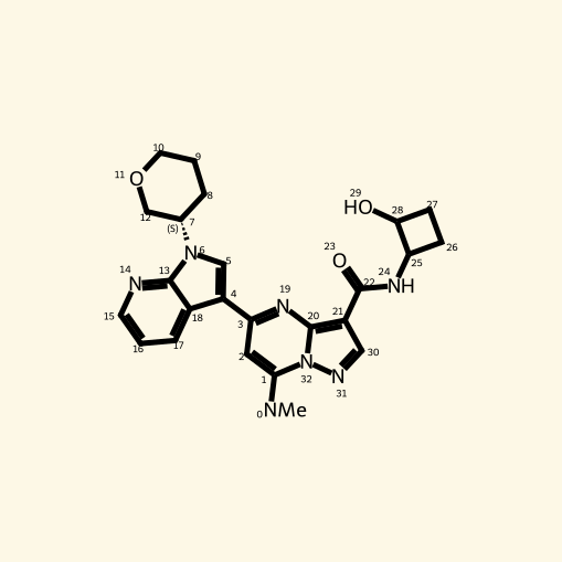 CNc1cc(-c2cn([C@H]3CCCOC3)c3ncccc23)nc2c(C(=O)NC3CCC3O)cnn12